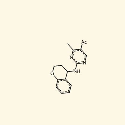 CC(=O)c1cnc(NC2CCOc3ccccc32)nc1C